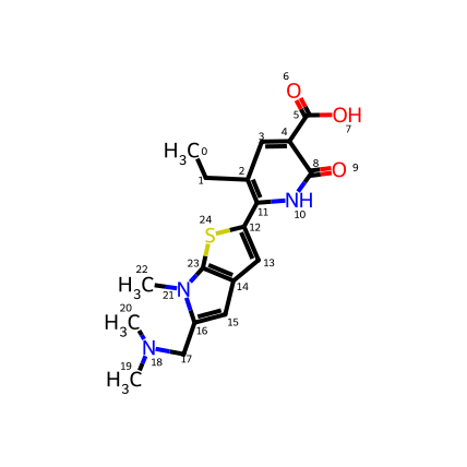 CCc1cc(C(=O)O)c(=O)[nH]c1-c1cc2cc(CN(C)C)n(C)c2s1